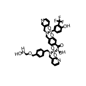 O=C(c1ccc(CN(Cc2cccnc2)S(=O)(=O)c2ccc(O)c(C(F)(F)F)c2)cc1)N(O)S(=O)(=O)N(Cc1ccc(COCNO)cc1)Cc1cccnc1